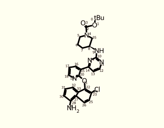 CC(C)(C)OC(=O)N1CCC[C@H](Nc2nccc(-c3cccnc3Oc3c(Cl)ccc4c(N)cccc34)n2)C1